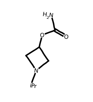 CC(C)N1CC(OC(N)=O)C1